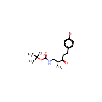 C[C@H](CNC(=O)OC(C)(C)C)C(=O)CCc1ccc(Br)cc1